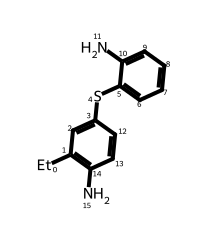 CCc1cc(Sc2ccccc2N)ccc1N